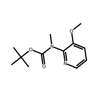 COc1cc[c]nc1N(C)C(=O)OC(C)(C)C